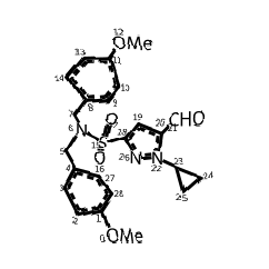 COc1ccc(CN(Cc2ccc(OC)cc2)S(=O)(=O)c2cc(C=O)n(C3CC3)n2)cc1